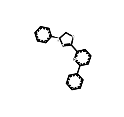 c1ccc(-c2cccc(C3=N[C@@H](c4ccccc4)CO3)n2)cc1